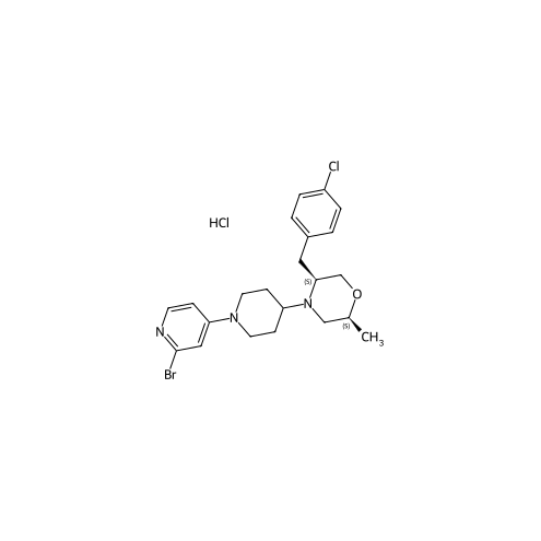 C[C@H]1CN(C2CCN(c3ccnc(Br)c3)CC2)[C@@H](Cc2ccc(Cl)cc2)CO1.Cl